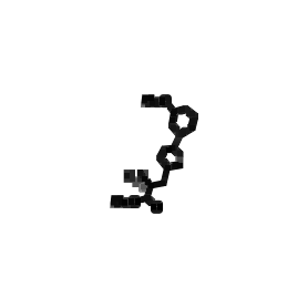 COC(=O)[C@@H](N)Cc1ccc(-c2cccc(OC)c2)cc1